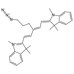 CN1/C(=C/C=C(/C=C/C2=[N+](C)c3ccccc3C2(C)C)CCCN=[N+]=[N-])C(C)(C)c2ccccc21